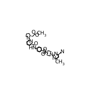 COC(=O)C[C@@H]1CCCN1c1cccc(C(=O)Nc2ccc(S(=O)(=O)N3CCN(c4nc(C)cc(C#N)n4)CC3)cc2)n1